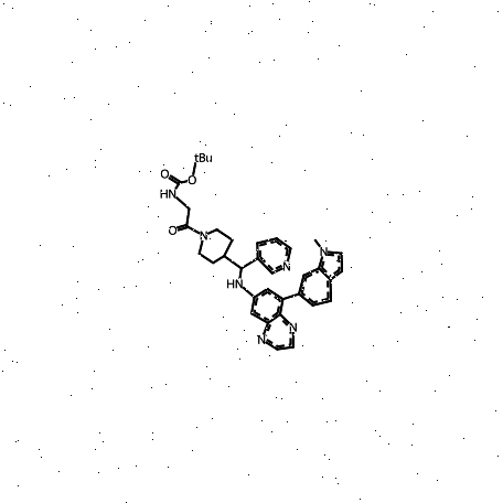 Cn1ccc2ccc(-c3cc(NC(c4cccnc4)C4CCN(C(=O)CNC(=O)OC(C)(C)C)CC4)cc4nccnc34)cc21